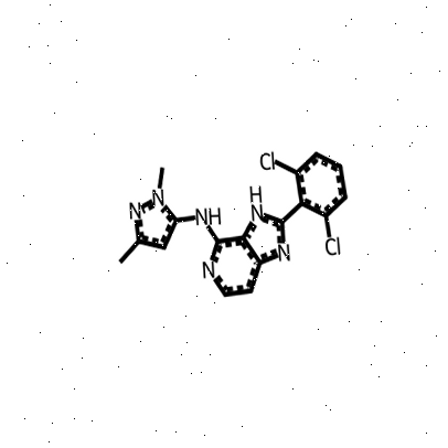 Cc1cc(Nc2nccc3nc(-c4c(Cl)cccc4Cl)[nH]c23)n(C)n1